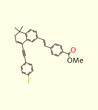 COC(=O)c1ccc(C=Cc2ccc3c(c2)C(C#Cc2ccc(F)cc2)=CCC3(C)C)cc1